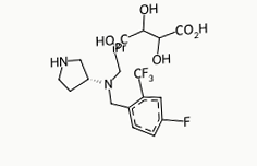 CC(C)CN(Cc1ccc(F)cc1C(F)(F)F)[C@@H]1CCNC1.O=C(O)C(O)C(O)C(=O)O